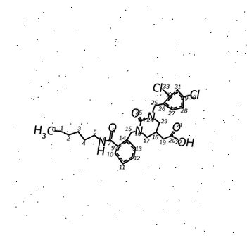 CCCCCCNC(=O)c1ccccc1CN1CC(CC(=O)O)CN(Cc2ccc(Cl)cc2Cl)C1=O